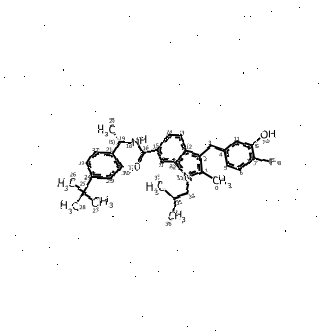 Cc1c(Cc2ccc(F)c(O)c2)c2ccc(C(=O)N[C@@H](C)c3ccc(C(C)(C)C)cc3)cc2n1CC(C)C